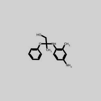 Cc1cc(N)ccc1NC(C)(CO)Oc1ccccc1